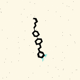 C/C=C\CCC[C@H]1CC[C@H](C2CCC(CCc3ccc(F)c(F)c3)CC2)CC1